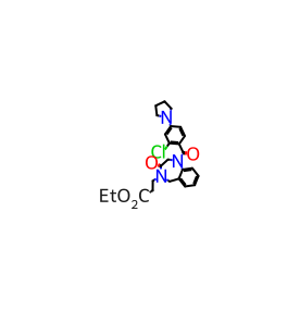 CCOC(=O)CCN1Cc2ccccc2N(C(=O)c2ccc(N3CCCC3)cc2Cl)CC1=O